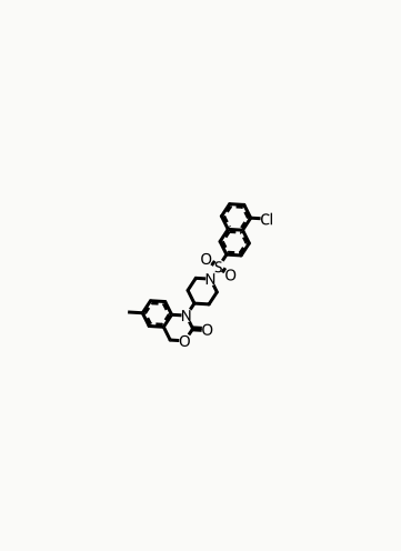 Cc1ccc2c(c1)COC(=O)N2C1CCN(S(=O)(=O)c2ccc3c(Cl)cccc3c2)CC1